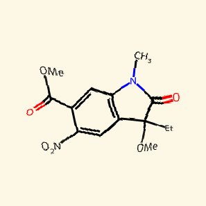 CCC1(OC)C(=O)N(C)c2cc(C(=O)OC)c([N+](=O)[O-])cc21